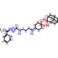 CC(=NNC(=S)NCCCNC1CCC2(CC1)OOC1(OO2)C2CC3CC(C2)CC1C3)c1ccccn1